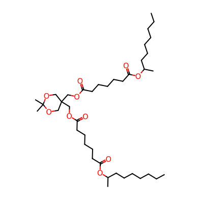 CCCCCCCC(C)OC(=O)CCCCCC(=O)OCC1(COC(=O)CCCCCC(=O)OC(C)CCCCCCC)COC(C)(C)OC1